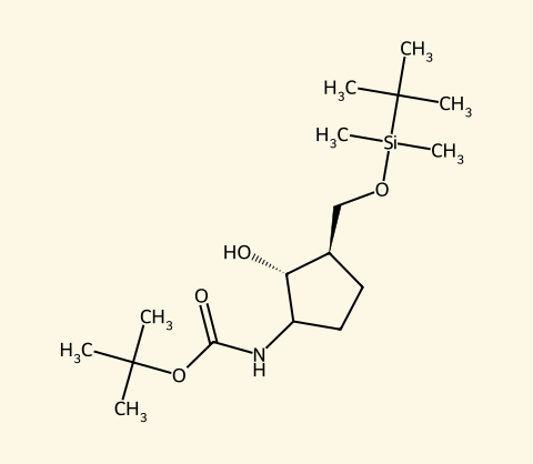 CC(C)(C)OC(=O)NC1CC[C@H](CO[Si](C)(C)C(C)(C)C)[C@H]1O